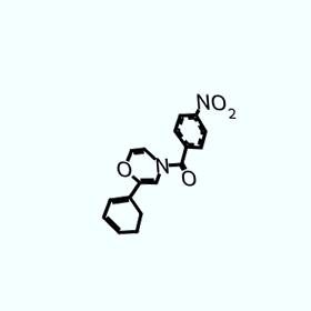 O=C(c1ccc([N+](=O)[O-])cc1)N1C=COC(C2=CC=CCC2)=C1